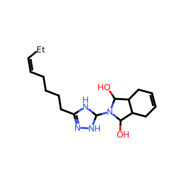 CC/C=C\CCCCC1=NNC(N2C(O)C3CC=CCC3C2O)N1